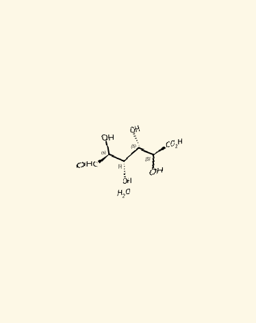 O.O=C[C@@H](O)[C@@H](O)[C@H](O)[C@H](O)C(=O)O